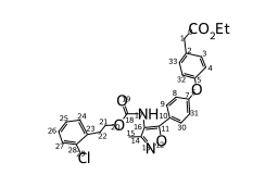 CCOC(=O)Cc1ccc(Oc2ccc(-c3onc(C)c3NC(=O)OCCc3ccccc3Cl)cc2)cc1